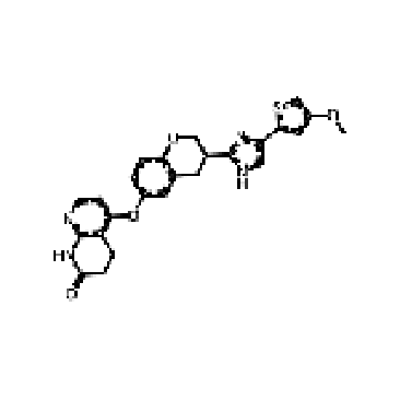 COc1csc(-c2c[nH]c(C3COc4ccc(Oc5ccnc6c5CCC(=O)N6)cc4C3)n2)c1